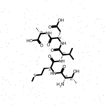 CSCC[C@H](NC(=O)[C@@H](N)[C@@H](C)O)C(=O)N[C@H](C(=O)N[C@@H](CC(=O)O)C(=O)N[C@@H](C)C(=O)O)C(C)C